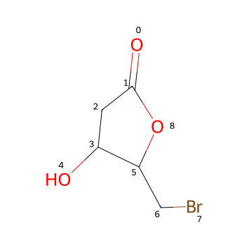 O=C1CC(O)C(CBr)O1